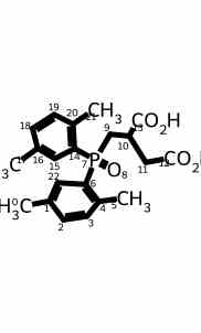 Cc1ccc(C)c(P(=O)(CC(CC(=O)O)C(=O)O)c2cc(C)ccc2C)c1